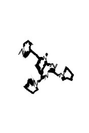 Cn1c(-c2cccnc2)cc2c(N3CCCC3)nc(N3CCCC3)nc21